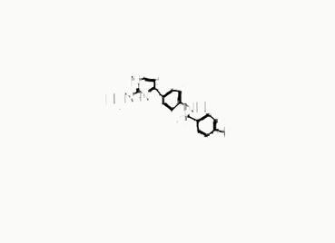 Nc1nccc(-c2ccc(NC(=O)c3ccc(I)cc3)cc2)n1